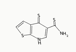 NC(=S)c1c[nH]c2sccc2c1=S